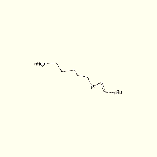 CCCCC=C[P]CCCCCCCCCCCC